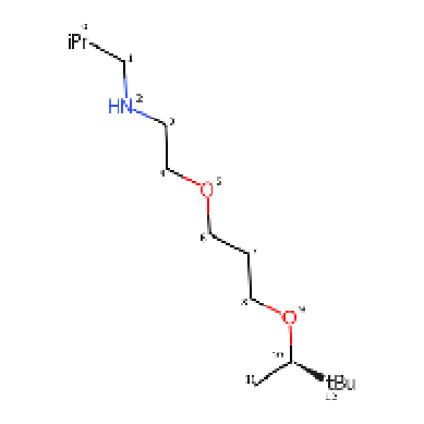 CC(C)CNCCOCCCO[C@H](C)C(C)(C)C